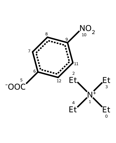 CC[N+](CC)(CC)CC.O=C([O-])c1ccc([N+](=O)[O-])cc1